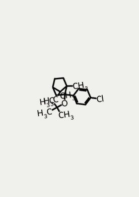 CC(C)(C)OC1(c2ccc(Cl)cc2)CC2CCC1(C)C2(C)C